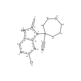 N#CC1(n2c(=S)[nH]c3cnc(Cl)nc32)CCCOCC1